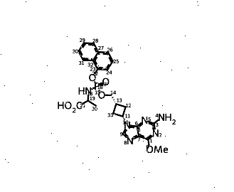 COc1nc(N)nc2c1ncn2[C@H]1C[C@@H](COP(=O)(NC(C)C(=O)O)Oc2cccc3ccccc23)C1